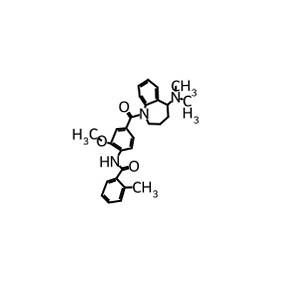 COc1cc(C(=O)N2CCCC(N(C)C)c3ccccc32)ccc1NC(=O)c1ccccc1C